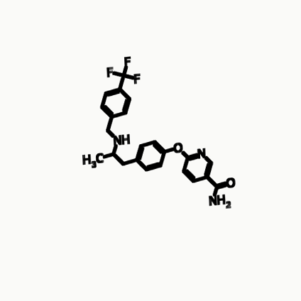 CC(Cc1ccc(Oc2ccc(C(N)=O)cn2)cc1)NCc1ccc(C(F)(F)F)cc1